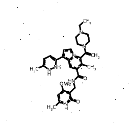 C=C(c1c(C)c(C(=O)NCc2c(OC)cc(C)[nH]c2=O)cc2c(C3=CC=C(C)NN3)ccn12)N1CCN(CC(F)(F)F)CC1